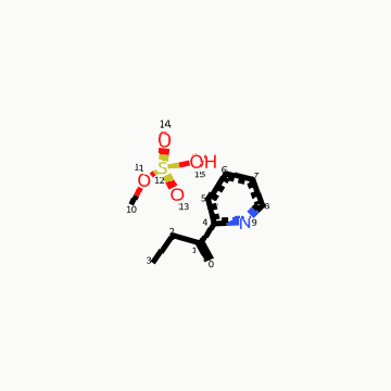 C=C(CC)c1ccccn1.COS(=O)(=O)O